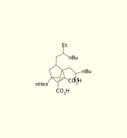 CCCCCCC12CC(CC(CC)CCCC)C(CC(CC)CCCC)(C1)C(C(=O)O)=C2C(=O)O